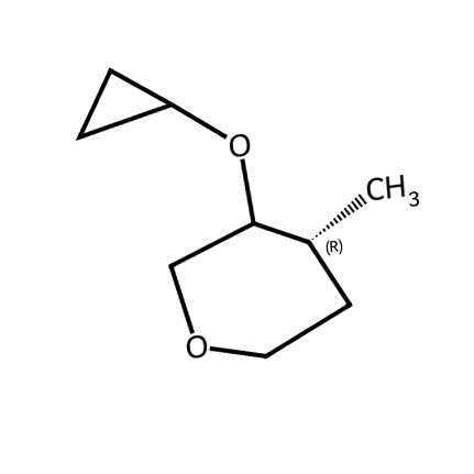 C[C@@H]1CCOCC1OC1CC1